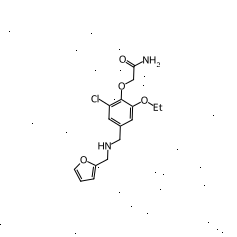 CCOc1cc(CNCc2ccco2)cc(Cl)c1OCC(N)=O